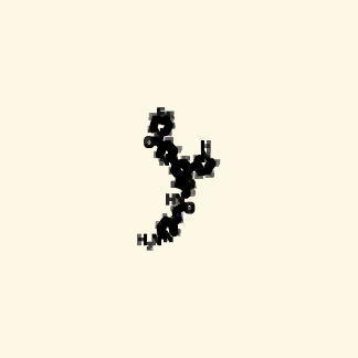 Nc1ccc(/C=C/C(=O)NCc2cc3cc(-c4ccc(C(=O)N5CCC(F)(F)CC5)cn4)cc(C4=CC=CNC4)c3o2)cn1